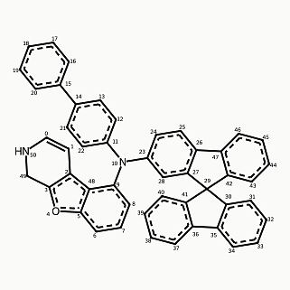 C1=Cc2c(oc3cccc(N(c4ccc(-c5ccccc5)cc4)c4ccc5c(c4)C4(c6ccccc6-c6ccccc64)c4ccccc4-5)c23)CN1